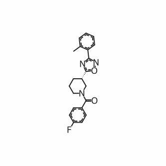 Cc1ccccc1-c1noc([C@H]2CCCN(C(=O)c3ccc(F)cc3)C2)n1